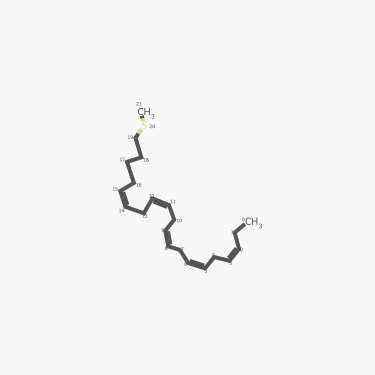 CC/C=C\C/C=C\C/C=C\C/C=C\C/C=C\CCCCSC